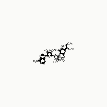 CC(=O)OC[C@@H](OC(C)=O)C1O[C@@H](OP(=O)(O)OP(=O)(O)OC[C@H]2O[C@@H](n3cnc4c(N)ncnc43)[C@@H](O)[C@H]2O)C(OC(C)=O)C(OC(C)=O)[C@@H]1OC(C)=O